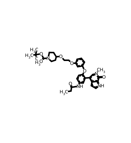 CCC(=O)Nc1ccc(Oc2cccc(OCCOC3CCN(C(=O)OC(C)(C)C)CC3)c2)c(-c2cn(C)c(=O)c3[nH]ccc23)c1